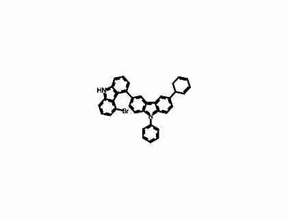 Brc1cccc2[nH]c3cccc(-c4ccc5c(c4)c4cc(C6C=CC=CC6)ccc4n5-c4ccccc4)c3c12